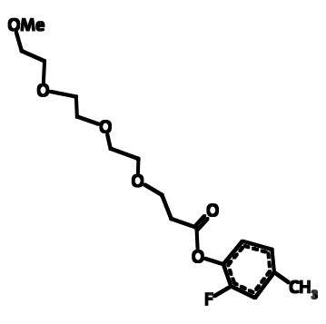 COCCOCCOCCOCCC(=O)Oc1ccc(C)cc1F